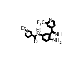 CCN1CCC(C(=O)N(CC)c2ccc(N)c(C(=N)c3ccnc(C(F)(F)F)c3)c2)C1